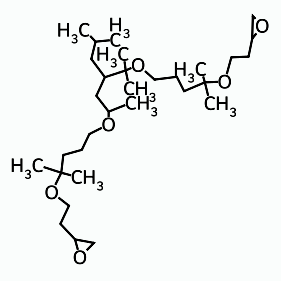 CC(C)CC(CC(C)OCCCC(C)(C)OCCC1CO1)C(C)(C)OCCCC(C)(C)OCCC1CO1